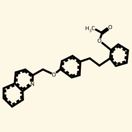 CC(=O)Oc1ccccc1CCc1ccc(OCc2ccc3ccccc3n2)cc1